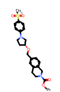 CC(C)OC(=O)N1CCc2cc(CO[C@H]3CCN(c4ccc(S(C)(=O)=O)cc4)C3)ccc2C1